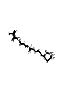 C=C(C)C(=O)OCCCNC(=O)CCCCC1CCSS1